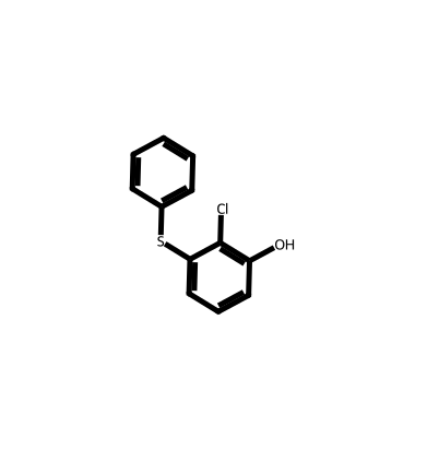 Oc1cccc(Sc2ccccc2)c1Cl